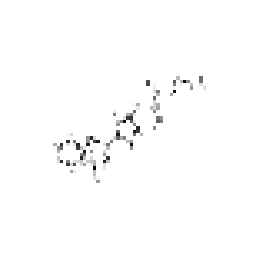 COCC(=O)N1CCc2nc(C(=O)Nc3ccccc3N)sc2C1